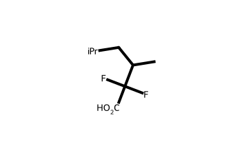 CC(C)CC(C)C(F)(F)C(=O)O